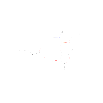 B[C@@H]1O[C@H](C)C(OP(OCCC#N)N(C(C)C)C(C)C)[C@@H]1OCOC(=O)CCC(C)=O